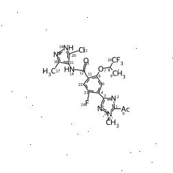 CC(=O)c1nc(-c2cc(OC(C)C(F)(F)F)c(C(=O)Nc3c(C)n[nH]c3Cl)cc2F)nn1C